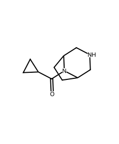 O=C(C1CC1)N1C2CCC1CNC2